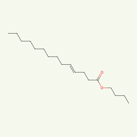 CCCCCCCCCC=CCCC(=O)OCCCC